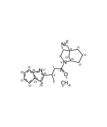 C.CC(CC(=O)N1CCC2(C#N)CCCC1C2)c1nc2ccccc2s1